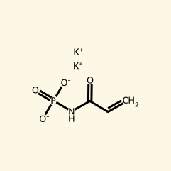 C=CC(=O)NP(=O)([O-])[O-].[K+].[K+]